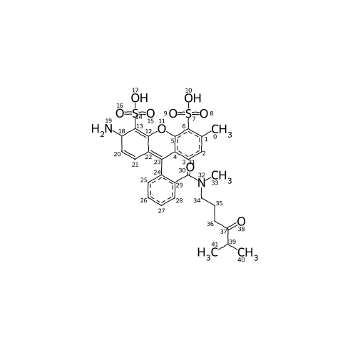 Cc1ccc2c(c1S(=O)(=O)O)OC1=C(S(=O)(=O)O)C(N)C=CC1=C2c1ccccc1C(=O)N(C)CCCC(=O)C(C)C